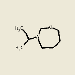 CC(C)N1CCCCOC1